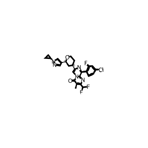 Cc1c(C(F)F)nc2c(-c3ccc(Cl)cc3F)nc([C@@H]3CCO[C@H](c4cnn(C5CC5)c4)C3)cn2c1=O